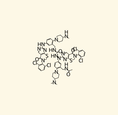 CNC1CCN(c2ccc(Nc3ncc4c(n3)SCN(c3c(Cl)cccc3Cl)C4=O)cc2CNC(=O)NN(c2ccc(N3CCC(N(C)C)CC3)c(CNC(C)=O)c2)c2ncc3c(n2)SCN(c2c(Cl)cccc2Cl)C3=O)CC1